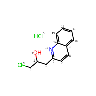 Cl.OC(CCl)Cc1ccc2ccccc2n1